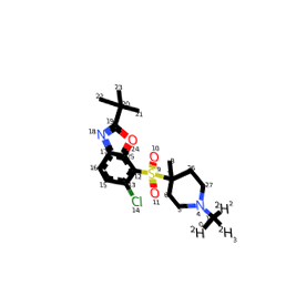 [2H]C([2H])([2H])N1CCC(C)(S(=O)(=O)c2c(Cl)ccc3nc(C(C)(C)C)oc23)CC1